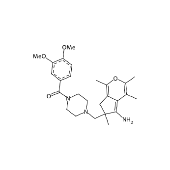 COc1ccc(C(=O)N2CCN(CC3(C)CC4=C(C)OC(C)=C(C)C4=C3N)CC2)cc1OC